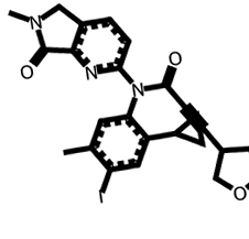 Cc1cc(N(C(=O)C#CC2CCOC2)c2ccc3c(n2)C(=O)N(C)C3)c(C2CC2)cc1I